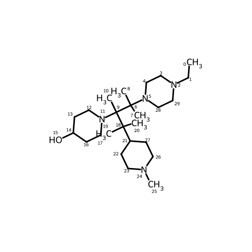 CCN1CCN(C(C)(C)C(C)(N2CCC(O)CC2)C(C)(C)C2CCN(C)CC2)CC1